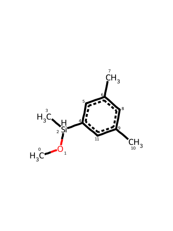 CO[SiH](C)c1cc(C)cc(C)c1